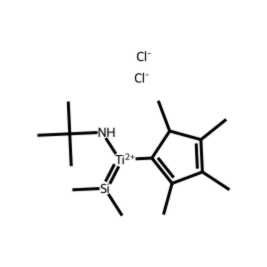 CC1=C(C)C(C)[C]([Ti+2]([NH]C(C)(C)C)=[Si](C)C)=C1C.[Cl-].[Cl-]